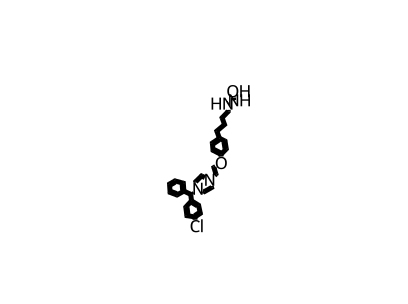 ONNCCCCc1ccc(OCCN2CCN([C@H](c3ccccc3)c3ccc(Cl)cc3)CC2)cc1